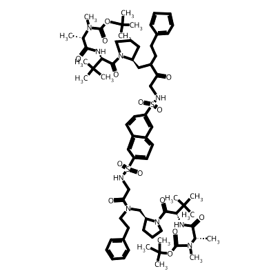 C[C@@H](C(=O)N[C@H](C(=O)N1CCC[C@H]1CC(CCc1ccccc1)C(=O)CNS(=O)(=O)c1ccc2cc(S(=O)(=O)NCC(=O)N(CCc3ccccc3)C[C@@H]3CCCN3C(=O)[C@@H](NC(=O)[C@H](C)N(C)C(=O)OC(C)(C)C)C(C)(C)C)ccc2c1)C(C)(C)C)N(C)C(=O)OC(C)(C)C